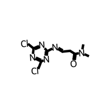 CN(C)C(=O)CC=Nc1nc(Cl)nc(Cl)n1